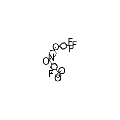 COC1(c2ccc(C(=O)N3CCC(Oc4ccc(C(F)(F)F)cc4)CC3)cc2F)COC1